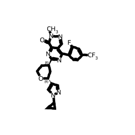 Cn1ncc2c(-c3ccc(C(F)(F)F)cc3F)nc([C@@H]3CCO[C@@H](c4cnn(C5CC5)c4)C3)nc2c1=O